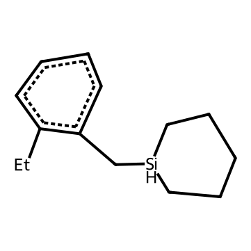 CCc1ccccc1C[SiH]1CCCCC1